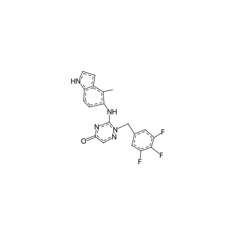 Cc1c(Nc2nc(=O)cnn2Cc2cc(F)c(F)c(F)c2)ccc2[nH]ccc12